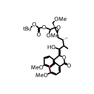 COC[C@@]1(C(OC)OC(=O)OC(C)(C)C)O[C@H]1C[C@H](C)C(C)/C(O)=C(\OC(=O)c1ccc(OC)cc1)c1ccc(OC)cc1